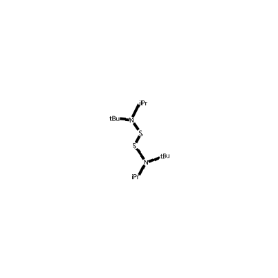 CC(C)N(SSN(C(C)C)C(C)(C)C)C(C)(C)C